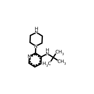 CC(C)(C)Nc1cccnc1N1CCNCC1